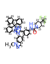 Cn1ncc2cc(-c3ccc(NC(=O)N4CCC(C(F)(F)F)CC4)cc3-c3nnn(C(c4ccccc4)(c4ccccc4)c4ccccc4)n3)ccc21